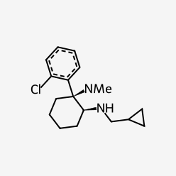 CN[C@]1(c2ccccc2Cl)CCCC[C@@H]1NCC1CC1